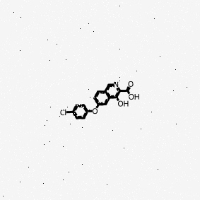 O=C(O)c1ncc2ccc(Oc3ccc(Cl)cc3)cc2c1O